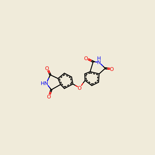 O=C1NC(=O)c2cc(Oc3ccc4c(c3)C(=O)NC4=O)ccc21